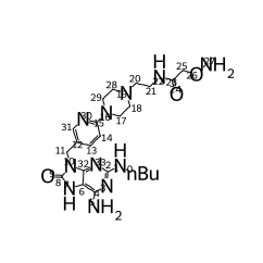 CCCCNc1nc(N)c2[nH]c(=O)n(Cc3ccc(N4CCN(CCNC(=O)CON)CC4)nc3)c2n1